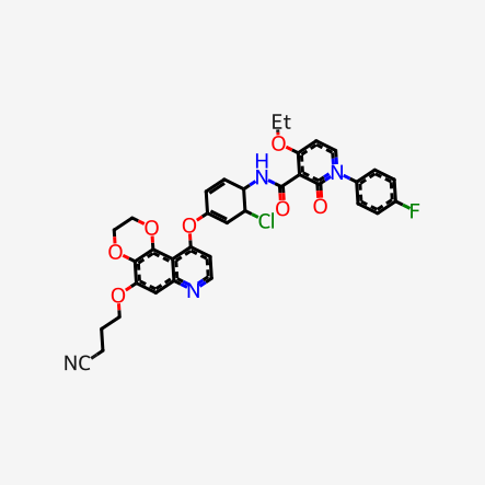 CCOc1ccn(-c2ccc(F)cc2)c(=O)c1C(=O)NC1C=CC(Oc2ccnc3cc(OCCCC#N)c4c(c23)OCCO4)=CC1Cl